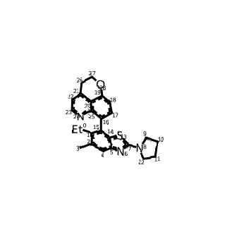 CCc1c(C)cc2nc(N3CCCC3)sc2c1-c1ccc2c3c(ccnc13)CCO2